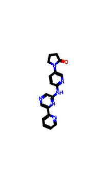 O=C1CCCN1c1ccc(Nc2cncc(-c3ccccn3)n2)nc1